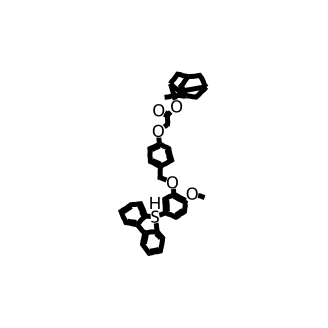 COc1ccc([SH]2c3ccccc3-c3ccccc32)cc1OCc1ccc(OCC(=O)OC2(C)C3CC4CC(C3)CC2C4)cc1